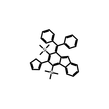 C[Si](C)(C)c1c(C2=CC=CC2)c([Si](C)(C)C)c(=C(c2ccccc2)c2ccccc2)c2c1-c1ccccc1[C]=2